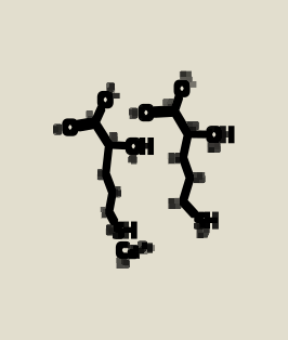 O=C([O-])C(O)CCCS.O=C([O-])C(O)CCCS.[Ca+2]